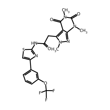 Cn1nc2c(c1CC(=O)Nc1nc(-c3cccc(OC(F)(F)F)c3)cs1)c(=O)n(C)c(=O)n2C